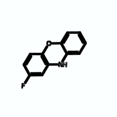 Fc1ccc2c(c1)Nc1ccccc1O2